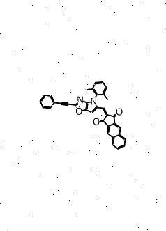 Cc1cccc(C)c1-n1c(C=C2C(=O)c3cc4ccccc4cc3C2=O)cc2oc(C#Cc3ccccc3)nc21